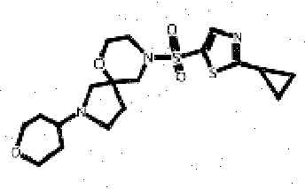 O=S(=O)(c1cnc(C2CC2)s1)N1CCOC2(CCN(C3CCOCC3)C2)C1